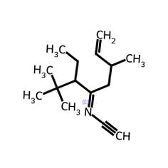 C#C/N=C(\CC(C)C=C)C(CC)C(C)(C)C